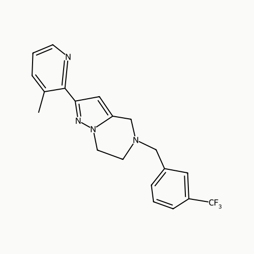 Cc1cccnc1-c1cc2n(n1)CCN(Cc1cccc(C(F)(F)F)c1)C2